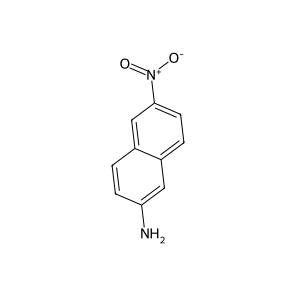 Nc1ccc2cc([N+](=O)[O-])ccc2c1